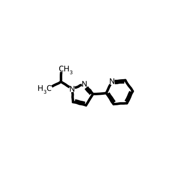 CC(C)n1ccc(-c2ccccn2)n1